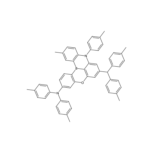 Cc1ccc(C(c2ccc(C)cc2)c2cc3c4c(c2)N(c2ccc(C)cc2)c2ccc(C)cc2B4c2ccc(N(c4ccc(C)cc4)c4ccc(C)cc4)cc2O3)cc1